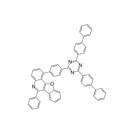 c1ccc(-c2ccc(-c3nc(-c4ccc(-c5ccccc5)cc4)nc(-c4ccc(-c5cccc6nc(-c7ccccc7)c7c8ccccc8oc7c56)cc4)n3)cc2)cc1